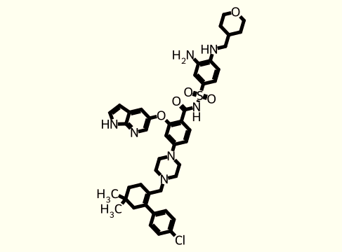 CC1(C)CCC(CN2CCN(c3ccc(C(=O)NS(=O)(=O)c4ccc(NCC5CCOCC5)c(N)c4)c(Oc4cnc5[nH]ccc5c4)c3)CC2)=C(c2ccc(Cl)cc2)C1